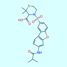 CC(C)C(=O)Nc1ccc2c(c1)oc1ccc(S(=O)(=O)N3CCSC(C)(C)C3C(=O)O)cc12